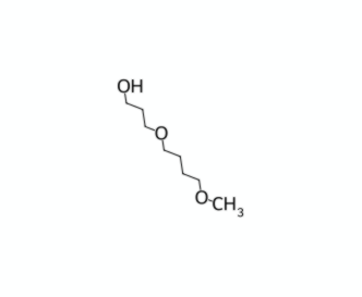 COCCCCOCCCO